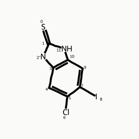 S=C1[N]c2cc(Cl)c(I)cc2N1